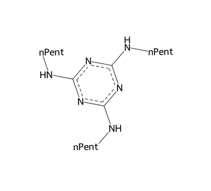 CCCCCNc1nc(NCCCCC)nc(NCCCCC)n1